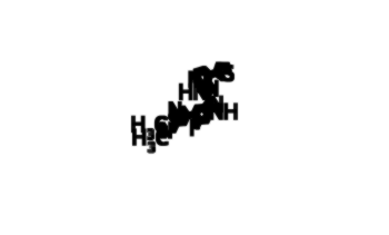 CN(C)Cc1cncc(-c2cc3c(-c4nc5c(-c6ccsc6)ccnc5[nH]4)n[nH]c3cc2F)c1